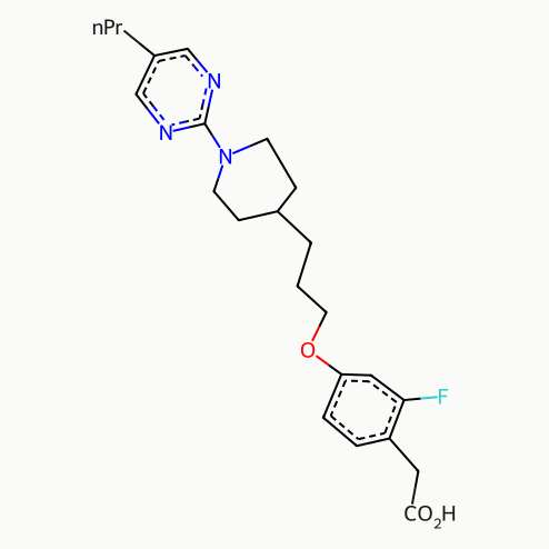 CCCc1cnc(N2CCC(CCCOc3ccc(CC(=O)O)c(F)c3)CC2)nc1